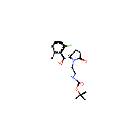 Cc1cccc(F)c1C(O)[C@@H]1CCC(=O)N1CCNC(=O)OC(C)(C)C